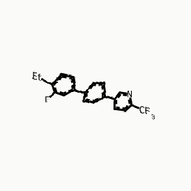 CCc1ccc(-c2ccc(-c3ccc(C(F)(F)F)nc3)cc2)cc1F